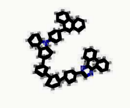 C1=Cc2cc(-c3ccc(-n4c5ccccc5c5cc(-c6cccc(-c7cccc(-c8ccc(-c9cnc%10c%11ccccc%11c%11ccccc%11c%10n9)cc8)c7)c6)ccc54)cc3)c3ccccc3c2CC1